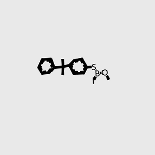 COB(I)Sc1ccc(C(C)(C)c2ccccc2)cc1